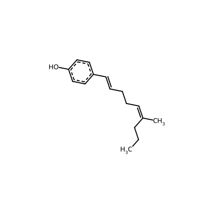 CCC/C(C)=C\CC/C=C/c1ccc(O)cc1